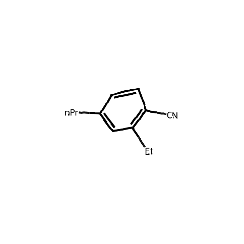 CCCc1ccc(C#N)c(CC)c1